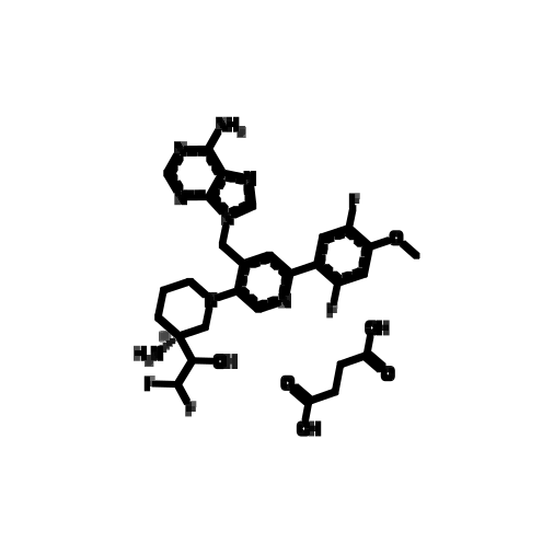 COc1cc(F)c(-c2cc(Cn3cnc4c(N)ncnc43)c(N3CCC[C@](N)(C(O)C(F)F)C3)cn2)cc1F.O=C(O)CCC(=O)O